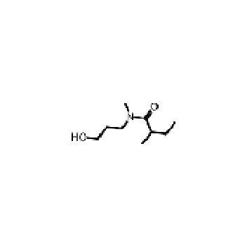 CCC(C)C(=O)N(C)CCCO